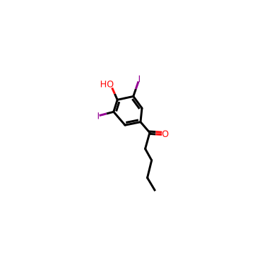 CCCCC(=O)c1cc(I)c(O)c(I)c1